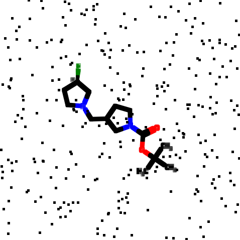 CC(C)(C)OC(=O)N1CCC(CN2CC[C@@H](F)C2)C1